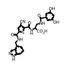 N#Cc1cc(C(=O)NCc2cccc3[nH]ncc23)sc1C(=O)NC(CNC(=O)c1cc(O)cc(O)c1)C(=O)O